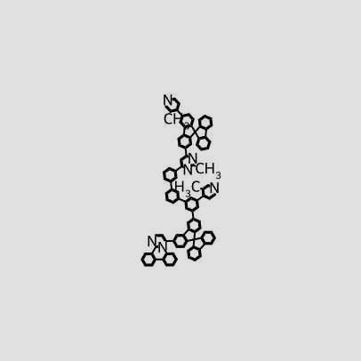 Cc1nc(-c2cccc(-c3cccc(-c4cc(-c5ccc6c(c5)-c5cc(-c7ccnc(-c8ccccc8-c8ccccc8)n7)ccc5C65c6ccccc6-c6ccccc65)cc(-c5ccncc5C)c4)c3)c2)cc(-c2ccc3c(c2)C2(c4ccccc4-c4ccccc42)c2ccc(-c4ccncc4C)cc2-3)n1